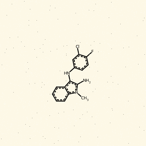 Cn1c(N)c(Nc2ccc(F)c(Cl)c2)c2ccccc21